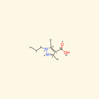 CCCn1nc(C)c(C(=O)O)c1C